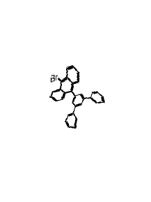 Brc1c2ccccc2c(-c2cc(-c3ccccc3)cc(-c3ccccc3)c2)c2ccccc12